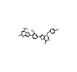 Cc1cc(N)n2nc(-c3ccc(-c4cc5c(s4)c(=O)ncn5Cc4ccc(Cl)cc4)cc3Cl)cc2n1